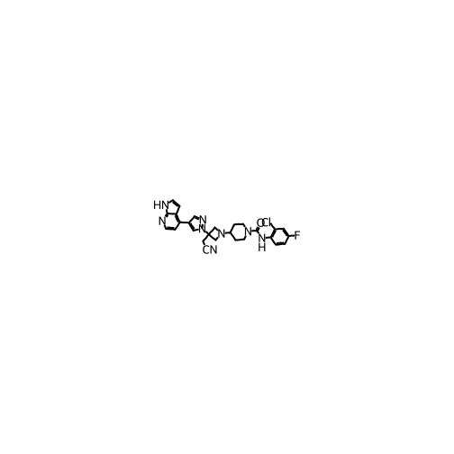 N#CCC1(n2cc(-c3ccnc4[nH]ccc34)cn2)CN(C2CCN(C(=O)Nc3ccc(F)cc3Cl)CC2)C1